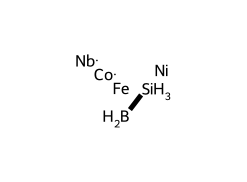 B[SiH3].[Co].[Fe].[Nb].[Ni]